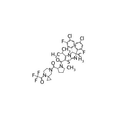 CC(C)C1=C(C(=O)N2C(C(=O)N3CCN(C(=O)C(F)(F)F)C4(CC4)C3)CC[C@H]2C)SC2=N[C@@](C)(c3ccc(Cl)cc3F)[C@@H](c3ccc(Cl)c(F)c3)N21